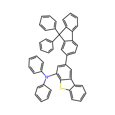 c1ccc(N(c2ccccc2)c2cc(-c3ccc4c(c3)C(c3ccccc3)(c3ccccc3)c3ccccc3-4)cc3c2sc2ccccc23)cc1